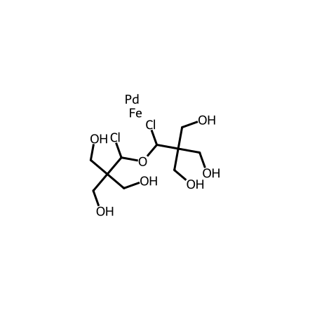 OCC(CO)(CO)C(Cl)OC(Cl)C(CO)(CO)CO.[Fe].[Pd]